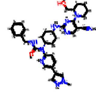 Cn1cc(-c2ccc(N(C(=O)NCc3ccccc3)[C@H]3CC[C@H](Nc4ncc(C#N)c(N5CCCCC5CO)n4)CC3)nc2)cn1